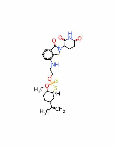 C=C(C)[C@H]1CC[C@@]2(C)OP(=S)(OCCNc3cccc4c3CN(C3CCC(=O)NC3=O)C4=O)S[C@@H]2C1